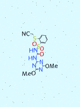 COc1nc(NC(=O)NS(=O)(=O)c2ccccc2SCC#N)nc(OC)n1